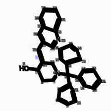 OC1CCN(C(c2ccccc2)(c2ccccc2)c2ccccc2)C/C1=C\c1cnc2ccccc2c1